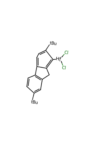 CC(C)(C)c1ccc2c(c1)Cc1c-2ccc(C(C)(C)C)[c]1[Hf]([Cl])[Cl]